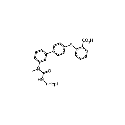 CCCCCCCNC(=O)N(C)c1cccc(-c2ccc(Sc3ccccc3C(=O)O)cc2)c1